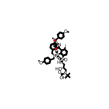 COc1ccc(CN(Cc2ccc(OC)cc2)S(=O)(=O)c2c(S(=O)(=O)NC[C@@H](O)CN(C(=O)O)C(C)(C)C)ccc(I)c2-c2nnn(Cc3ccc(OC)cc3)n2)cc1